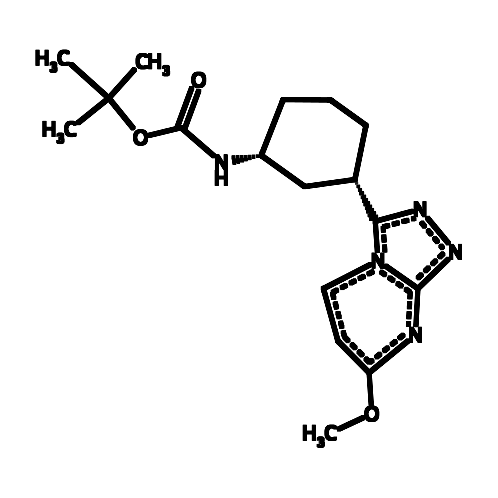 COc1ccn2c([C@H]3CCC[C@@H](NC(=O)OC(C)(C)C)C3)nnc2n1